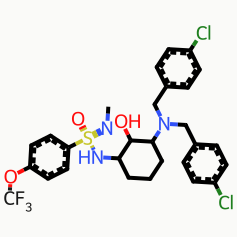 CN=S(=O)(NC1CCCC(N(Cc2ccc(Cl)cc2)Cc2ccc(Cl)cc2)C1O)c1ccc(OC(F)(F)F)cc1